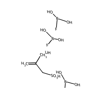 C=C(C)CS(=O)(=O)O.OB(O)F.OB(O)F.OB(O)F.[LiH]